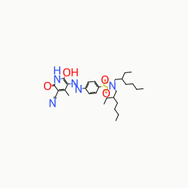 CCCCC(CC)CN(CC(CC)CCCC)S(=O)(=O)c1ccc(/N=N/c2c(O)[nH]c(=O)c(C#N)c2C)cc1